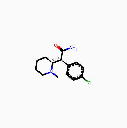 CN1CCCC[C@H]1[C@@H](C(N)=O)c1ccc(Cl)cc1